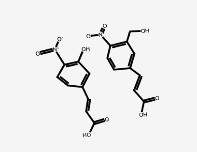 O=C(O)C=Cc1ccc([N+](=O)[O-])c(CO)c1.O=C(O)C=Cc1ccc([N+](=O)[O-])c(O)c1